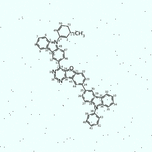 CC1C=C(n2c3ccccc3c3cc(-c4ncnc5c4oc4ccc(-c6ccc7c(c6)c6ccccc6n7-c6ccccc6)cc45)ccc32)C=CC1